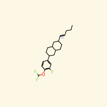 CCC/C=C/C1CCC2CC(c3ccc(OC(F)F)c(F)c3)CCC2C1